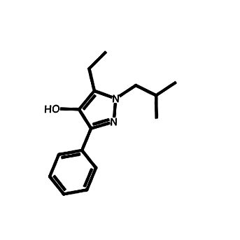 CCc1c(O)c(-c2ccccc2)nn1CC(C)C